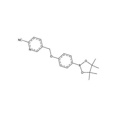 CC1(C)OB(c2ccc(OCc3ccc(C#N)nc3)cc2)OC1(C)C